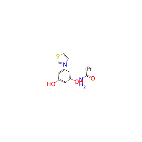 CC(C)C(N)=O.Oc1cccc(O)c1.c1cscn1